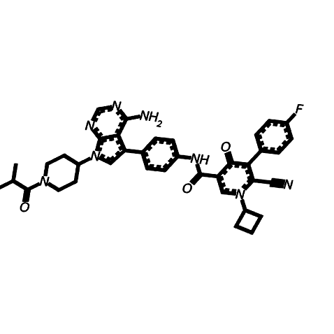 CC(C)C(=O)N1CCC(n2cc(-c3ccc(NC(=O)c4cn(C5CCC5)c(C#N)c(-c5ccc(F)cc5)c4=O)cc3)c3c(N)ncnc32)CC1